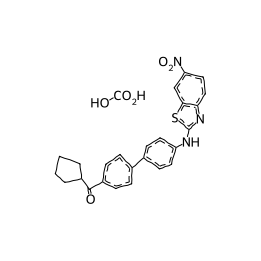 O=C(O)O.O=C(c1ccc(-c2ccc(Nc3nc4ccc([N+](=O)[O-])cc4s3)cc2)cc1)C1CCCC1